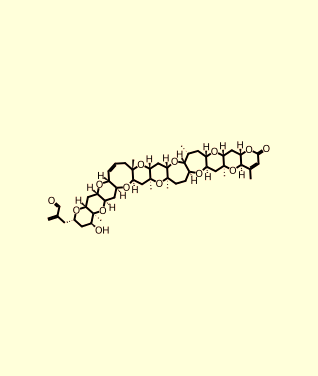 C=C(C=O)C[C@H]1C[C@H](O)[C@]2(C)O[C@@H]3C[C@@H]4O[C@@H]5C[C@]6(C)O[C@]7(C)CC[C@@H]8O[C@@H]9C[C@]%10(C)O[C@@H]%11C(C)=CC(=O)O[C@H]%11C[C@H]%10O[C@H]9C[C@@H](C)[C@H]8O[C@H]7C[C@H]6O[C@@]5(C)CC=C[C@H]4O[C@H]3C[C@H]2O1